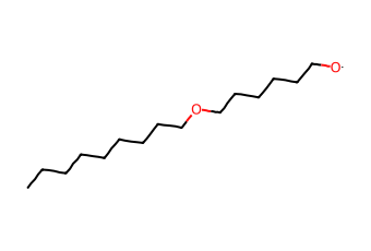 CCCCCCCCCOCCCCCC[O]